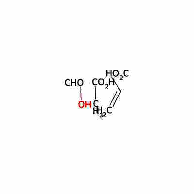 C=CC(=O)O.CC(=O)O.O=CO